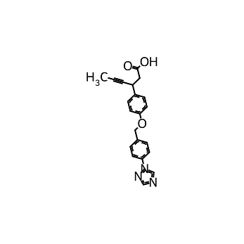 CC#CC(CC(=O)O)c1ccc(OCc2ccc(-n3cncn3)cc2)cc1